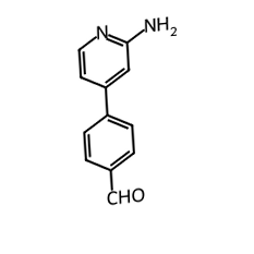 Nc1cc(-c2ccc(C=O)cc2)ccn1